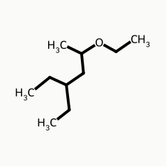 CCOC(C)CC(CC)CC